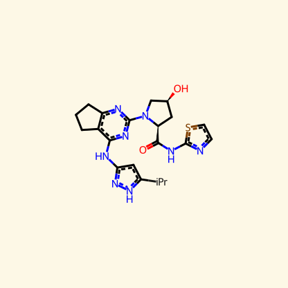 CC(C)c1cc(Nc2nc(N3C[C@@H](O)C[C@H]3C(=O)Nc3nccs3)nc3c2CCC3)n[nH]1